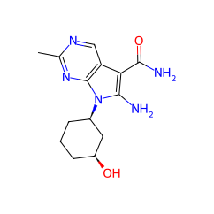 Cc1ncc2c(C(N)=O)c(N)n([C@@H]3CCC[C@H](O)C3)c2n1